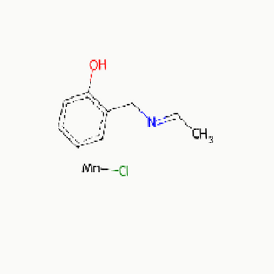 C/C=N/Cc1ccccc1O.[Cl][Mn]